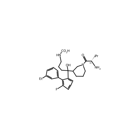 CCc1cccc(-c2c(F)cccc2C(O)(CCCNC(=O)O)C2CCCN(C(=O)[C@@H](N)C(C)C)C2)c1